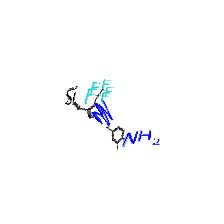 Cc1cc(Cn2cc(C#C[Si](C)(C)C)c(C(F)(F)C(F)(F)F)n2)ccc1N